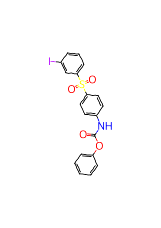 O=C(Nc1ccc(S(=O)(=O)c2cccc(I)c2)cc1)Oc1ccccc1